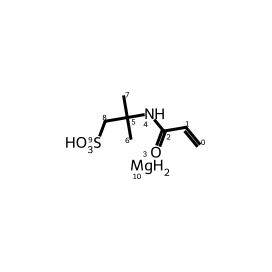 C=CC(=O)NC(C)(C)CS(=O)(=O)O.[MgH2]